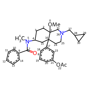 COC12CCC(N(C)C(=O)c3ccccc3)CC1(c1cccc(OC(C)=O)c1)CCN(CC1CC1)C2